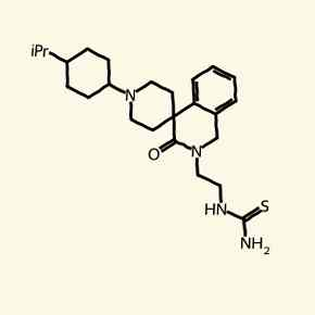 CC(C)C1CCC(N2CCC3(CC2)C(=O)N(CCNC(N)=S)Cc2ccccc23)CC1